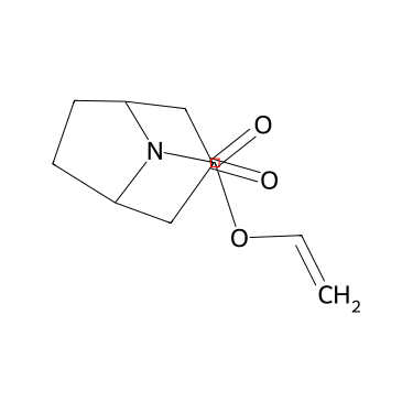 C=COC(=O)N1C2CCC1CC(=O)C2